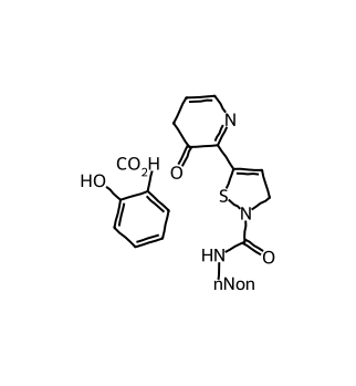 CCCCCCCCCNC(=O)N1CC=C(C2=NC=CCC2=O)S1.O=C(O)c1ccccc1O